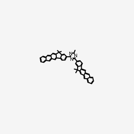 Cc1nc(-c2ccc3c(c2)C(C)(C)c2cc4cc5ccccc5cc4cc2-3)nc(-c2ccc3c(c2)C(C)(C)c2cc4cc5ccccc5cc4cc2-3)n1